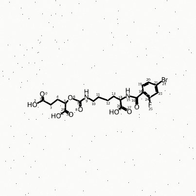 O=C(O)CCC(OC(=O)NCCCCC(NC(=O)c1ccc(Br)cc1F)C(=O)O)C(=O)O